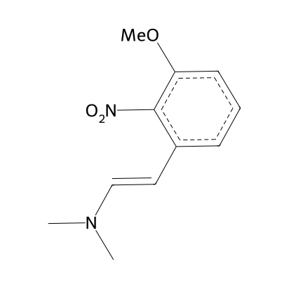 COc1cccc(C=CN(C)C)c1[N+](=O)[O-]